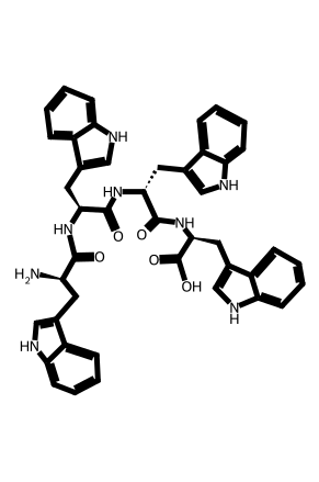 N[C@H](Cc1c[nH]c2ccccc12)C(=O)N[C@@H](Cc1c[nH]c2ccccc12)C(=O)N[C@H](Cc1c[nH]c2ccccc12)C(=O)N[C@@H](Cc1c[nH]c2ccccc12)C(=O)O